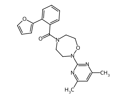 Cc1cc(C)nc(N2CCN(C(=O)c3ccccc3-c3ccco3)CCO2)n1